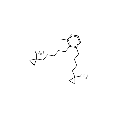 Cc1cccc(CCCCC2(C(=O)O)CC2)c1CCCCCC1(C(=O)O)CC1